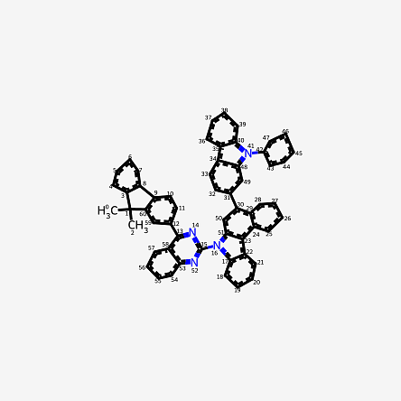 CC1(C)c2ccccc2-c2ccc(-c3nc(-n4c5ccccc5c5c6ccccc6c(-c6ccc7c8ccccc8n(-c8ccccc8)c7c6)cc54)nc4ccccc34)cc21